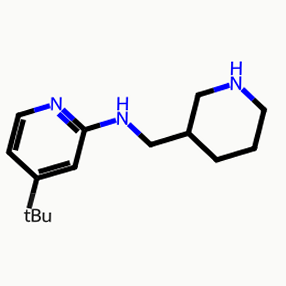 CC(C)(C)c1ccnc(NCC2CCCNC2)c1